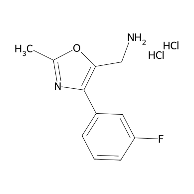 Cc1nc(-c2cccc(F)c2)c(CN)o1.Cl.Cl